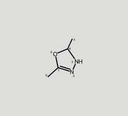 CC1=NNC(C)O1